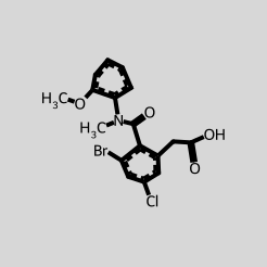 COc1ccccc1N(C)C(=O)c1c(Br)cc(Cl)cc1CC(=O)O